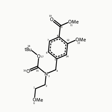 COCCN(Cc1ccc(C(=O)OC)c(OC)c1)C(=O)OC(C)(C)C